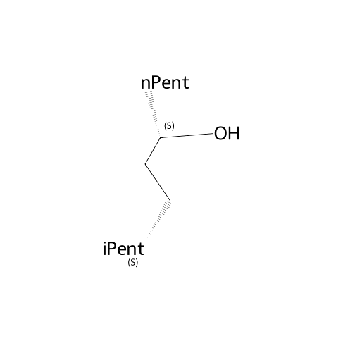 CCCCC[C@H](O)CC[C@@H](C)CCC